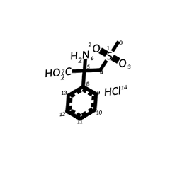 CS(=O)(=O)CC(N)(C(=O)O)c1ccccc1.Cl